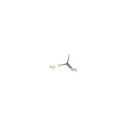 C=C(F)F.S